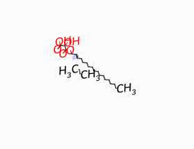 CCCC.CCCCCCCCCCCCCCC/C=C/COC(=O)C(O)C(=O)O